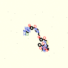 CNc1nc(Nc2ccc(C(=O)N3CCN(CCCOc4cccc(C(=O)c5csc([C@@H]6CCCN6C(=O)[C@@H](NC(=O)[C@H](C)N(C)C(=O)OC(C)(C)C)C6CCCCC6)n5)c4)CC3)cc2OC)ncc1Cl